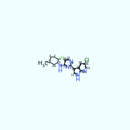 C[C]1CCCC(Nc2nc(-c3c[nH]c4ncc(Cl)cc34)ncc2F)C1